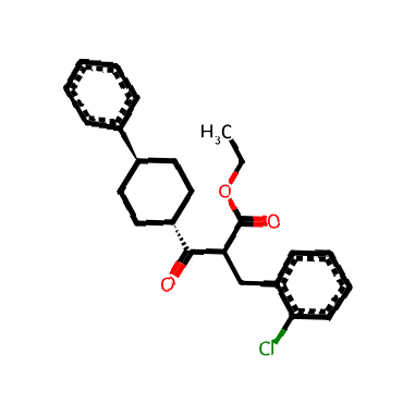 CCOC(=O)C(Cc1ccccc1Cl)C(=O)[C@H]1CC[C@H](c2ccccc2)CC1